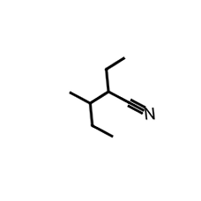 CCC(C)C(C#N)CC